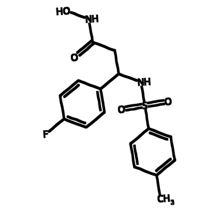 Cc1ccc(S(=O)(=O)NC(CC(=O)NO)c2ccc(F)cc2)cc1